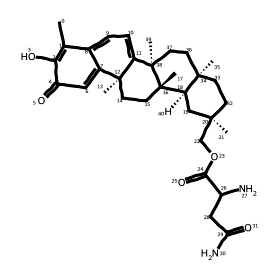 CC1=C(O)C(=O)C=C2C1=CC=C1[C@@]2(C)CC[C@@]2(C)[C@@H]3C[C@](C)(COC(=O)C(N)CC(N)=O)CC[C@]3(C)CC[C@]12C